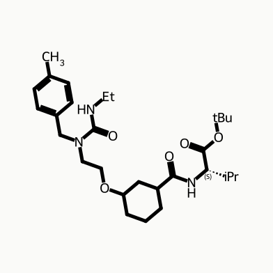 CCNC(=O)N(CCOC1CCCC(C(=O)N[C@H](C(=O)OC(C)(C)C)C(C)C)C1)Cc1ccc(C)cc1